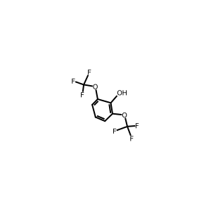 Oc1c(OC(F)(F)F)cccc1OC(F)(F)F